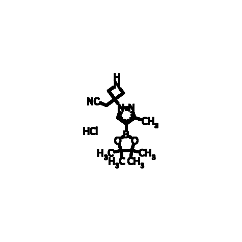 Cc1nn(C2(CC#N)CNC2)cc1B1OC(C)(C)C(C)(C)O1.Cl